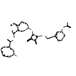 CC(=O)Nc1cccc(CNc2c(Nc3ccc4[nH]nc(NC(=O)c5cccc(Cl)c5)c4c3)c(=O)c2=O)c1